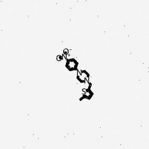 Cc1ccc(CN2CCN(c3ccc([N+](=O)[O-])cc3)CC2)s1